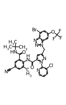 Cc1cc(C#N)cc(C(=O)NC(C)(C)C)c1NC(=O)c1cc(Cn2nnc3c(Br)cc(OC(F)(F)F)cc32)nn1-c1ncccc1Cl